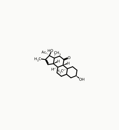 CC(=O)[C@@]1(O)C(C)=C[C@H]2[C@@H]3CCC4C[C@H](O)CC[C@]4(C)[C@H]3C(=O)C[C@@]21C